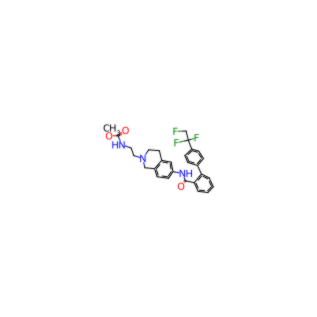 COC(=O)NCCN1CCc2cc(NC(=O)c3ccccc3-c3ccc(C(F)(F)CF)cc3)ccc2C1